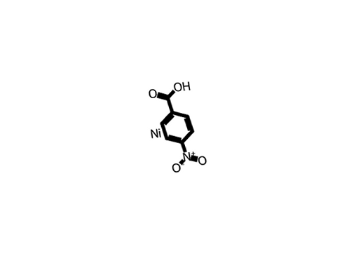 O=C(O)c1ccc([N+](=O)[O-])cc1.[Ni]